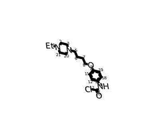 CCN1CCN(CCCCOc2ccc(NC(=O)Cl)cc2)CC1